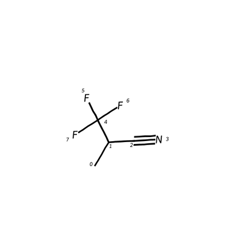 CC(C#N)C(F)(F)F